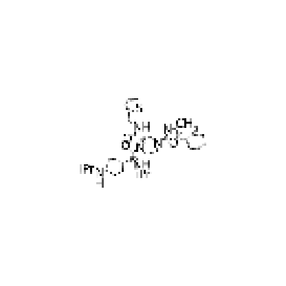 CC(C)N[C@@H](C(=O)N1CCN(C2=N[C@@H](C)[C@H](c3ccccc3)O2)C[C@H]1C(=O)NCc1cccs1)[C@H]1CC[C@H](NC(C)C)CC1